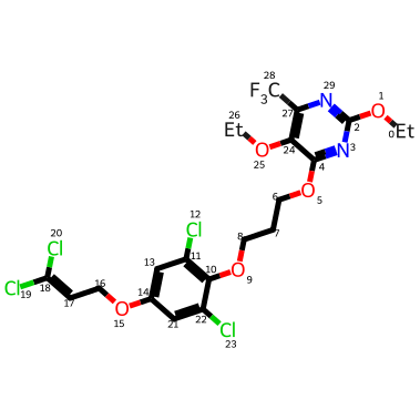 CCOc1nc(OCCCOc2c(Cl)cc(OCC=C(Cl)Cl)cc2Cl)c(OCC)c(C(F)(F)F)n1